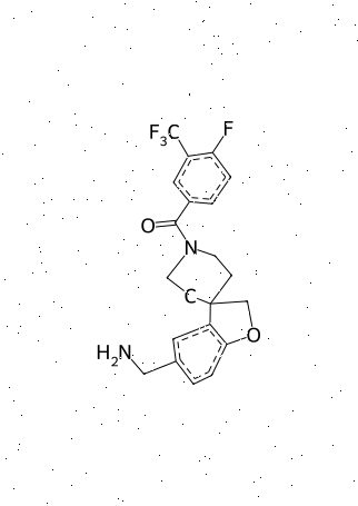 NCc1ccc2c(c1)C1(CCN(C(=O)c3ccc(F)c(C(F)(F)F)c3)CC1)CO2